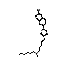 CCCCCOC(C)CCCC=Cc1ccc(-c2ccc3cc(O)ccc3c2)cc1